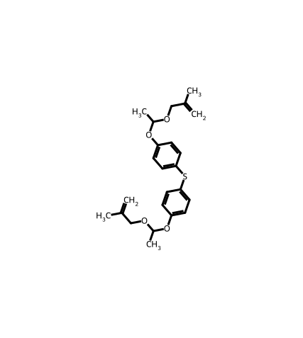 C=C(C)COC(C)Oc1ccc(Sc2ccc(OC(C)OCC(=C)C)cc2)cc1